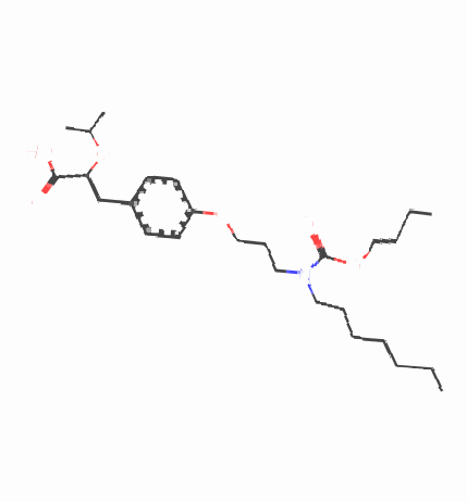 CCCCCCCN(CCCOc1ccc(CC(OC(C)C)C(=O)O)cc1)C(=O)OCCCC